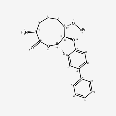 CCCO[C@H]1CCC[C@H](N)C(=O)O[C@@H](C)[C@@H]1Oc1ccc(-c2ccccc2)cc1